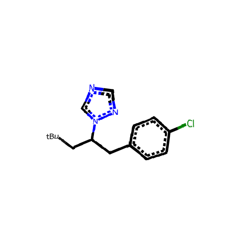 CC(C)(C)CC(Cc1ccc(Cl)cc1)n1cncn1